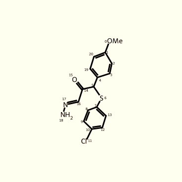 COc1ccc(C(Sc2ccc(Cl)cc2)C(=O)C=NN)cc1